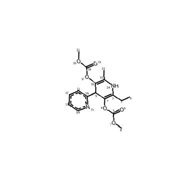 CCC1=C(OC(=O)OC)C(c2ccccn2)C(OC(=O)OC)=C(C)N1